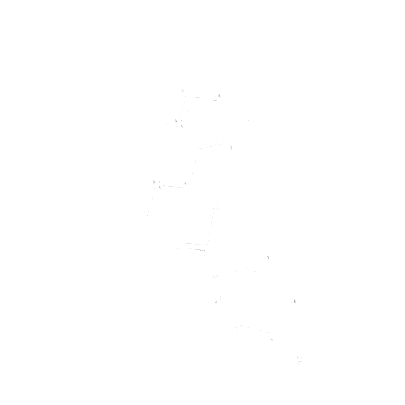 Cc1cnc(-c2ccccn2)cc1-c1ccc(F)cc1